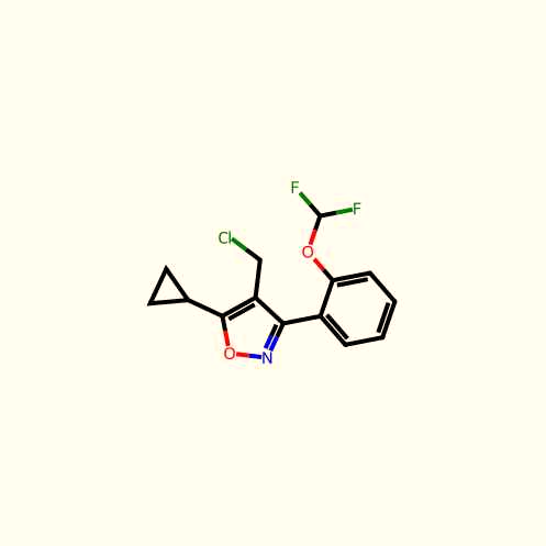 FC(F)Oc1ccccc1-c1noc(C2CC2)c1CCl